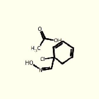 CC(=O)O.O/N=C\C1(Cl)C=CC=CC1